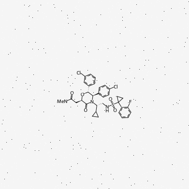 CNC(=O)C[C@H]1O[C@H](c2cccc(Cl)c2)[C@@H](c2ccc(Cl)cc2)N([C@H](CNS(=O)(=O)C2(c3ccccc3F)CC2)C2CC2)C1=O